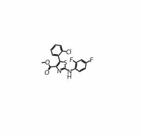 COC(=O)c1nc(Nc2ccc(F)cc2F)sc1-c1ccccc1Cl